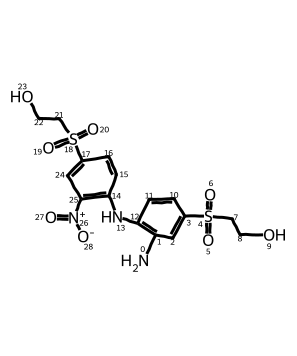 Nc1cc(S(=O)(=O)CCO)ccc1Nc1ccc(S(=O)(=O)CCO)cc1[N+](=O)[O-]